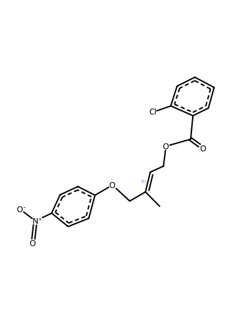 C/C(=C\COC(=O)c1ccccc1Cl)COc1ccc([N+](=O)[O-])cc1